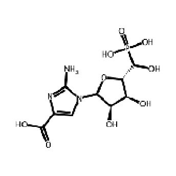 Nc1nc(C(=O)O)cn1C1O[C@H](C(O)P(=O)(O)O)[C@@H](O)[C@H]1O